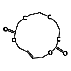 O=C1CCCCCCCCC(=O)OC/C=C/CO1